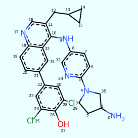 NC1CCN(c2ccc(Nc3c(CC4CC4)cnc4ccc(-c5cc(Cl)c(O)c(Cl)c5)cc34)cn2)C1